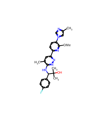 COc1nc(-c2cc(C)c(NC(c3ccc(F)cc3)C(C)(C)O)nn2)ccc1-n1cnc(C)c1